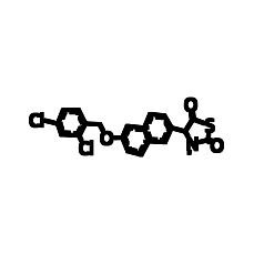 CN1C(=O)SC(=O)C1c1ccc2cc(OCc3ccc(Cl)cc3Cl)ccc2c1